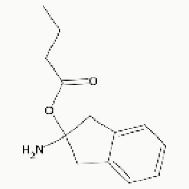 CCCC(=O)OC1(N)Cc2ccccc2C1